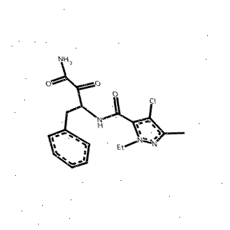 CCn1nc(C)c(Cl)c1C(=O)NC(Cc1ccccc1)C(=O)C(N)=O